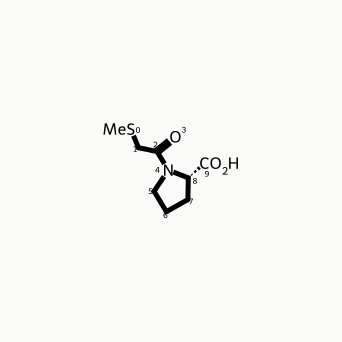 CSCC(=O)N1CCC[C@H]1C(=O)O